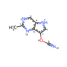 Cc1ncc2[nH]cc(OC#N)c2n1